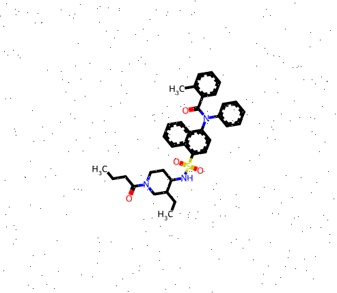 CCCC(=O)N1CCC(NS(=O)(=O)c2ccc(N(C(=O)c3ccccc3C)c3ccccc3)c3ccccc23)C(CC)C1